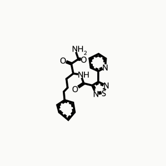 NC(=O)C(=O)C(CCCc1ccccc1)NC(=O)c1nsnc1-c1ccccn1